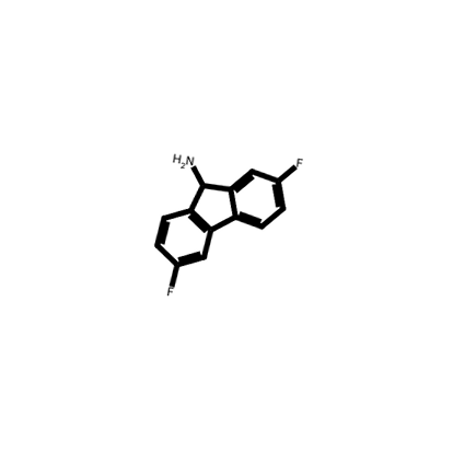 NC1c2ccc(F)cc2-c2ccc(F)cc21